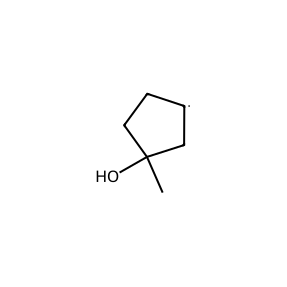 CC1(O)C[CH]CC1